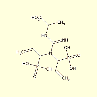 C=CC(N(C(=N)NC(C)C(=O)O)C(C=C)P(=O)(O)O)P(=O)(O)O